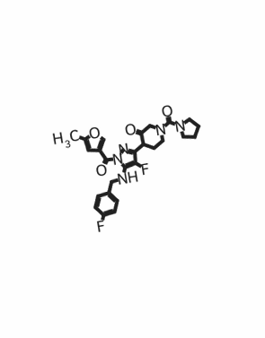 Cc1cc(C(=O)n2nc(C3CCN(C(=O)N4CCCC4)CC3=O)c(F)c2NCc2ccc(F)cc2)co1